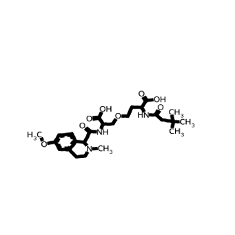 COc1ccc2c(c1)CCN(C)C2C(=O)NC(COCCC(NC(=O)CC(C)(C)C)C(=O)O)C(=O)O